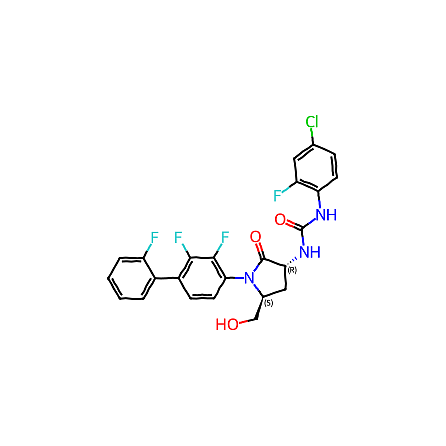 O=C(Nc1ccc(Cl)cc1F)N[C@@H]1C[C@@H](CO)N(c2ccc(-c3ccccc3F)c(F)c2F)C1=O